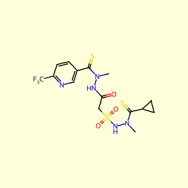 CN(NC(=O)CS(=O)(=O)NN(C)C(=S)C1CC1)C(=S)c1ccc(C(F)(F)F)nc1